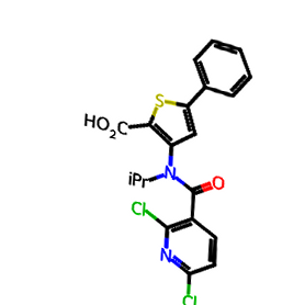 CC(C)N(C(=O)c1ccc(Cl)nc1Cl)c1cc(-c2ccccc2)sc1C(=O)O